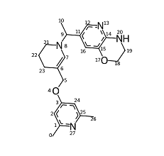 Cc1cc(OCC2=CN(C(C)c3cnc4c(c3)OCCN4)CCC2)cc(C)n1